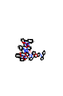 c1ccc(-c2cccc(-c3ccccc3)c2N2c3cc(-c4ccc(-n5c6ccccc6c6ccccc65)cc4)ccc3B3c4ccc(-n5c6ccccc6c6ccccc65)cc4N(c4c(-c5ccccc5)cccc4-c4ccccc4)c4cc(-n5c6ccccc6c6ccccc65)cc2c43)cc1